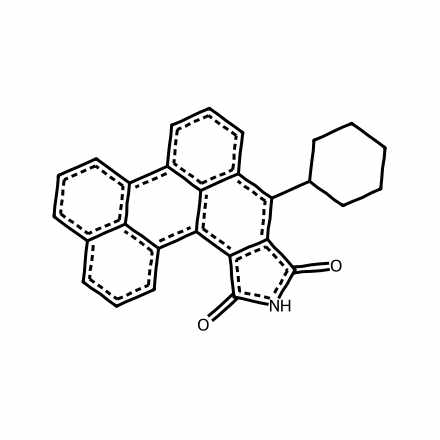 O=c1[nH]c(=O)c2c1c(C1CCCCC1)c1cccc3c4cccc5cccc(c54)c2c13